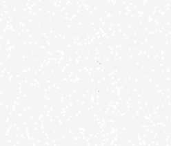 CC1NC(=C2CC2)Nc2ccc(Cl)cc21